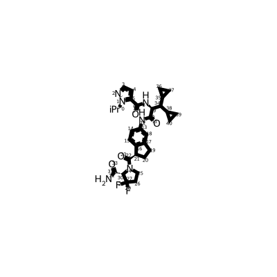 CC(C)n1nccc1C(=O)N[C@H](C(=O)Nc1ccc2c(c1)CC[C@H]2C(=O)N1CCC(F)(F)[C@@H]1C(N)=O)C(C1CC1)C1CC1